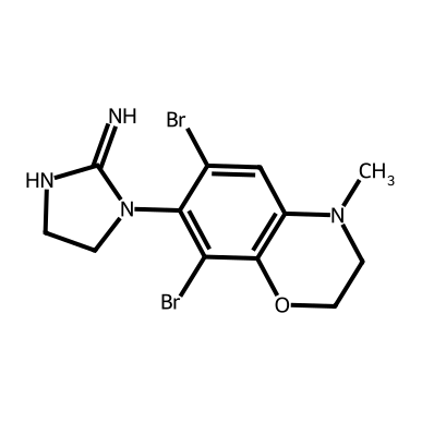 CN1CCOc2c1cc(Br)c(N1CCNC1=N)c2Br